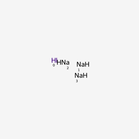 I.[NaH].[NaH].[NaH]